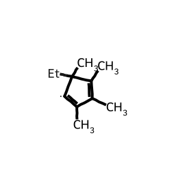 CCC1(C)[C]=C(C)C(C)=C1C